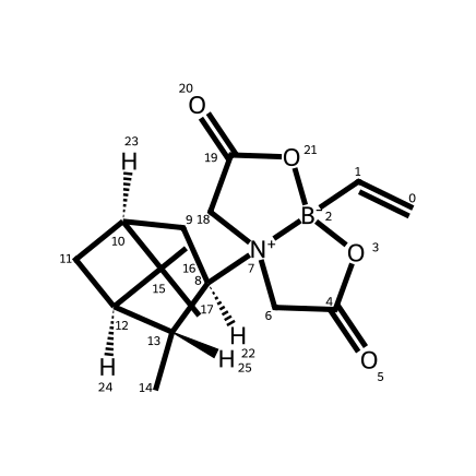 C=C[B-]12OC(=O)C[N+]1([C@@H]1C[C@@H]3C[C@H]([C@H]1C)C3(C)C)CC(=O)O2